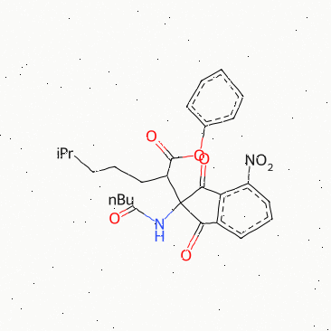 CCCCC(=O)NC1(C(CCCC(C)C)C(=O)Oc2ccccc2)C(=O)c2cccc([N+](=O)[O-])c2C1=O